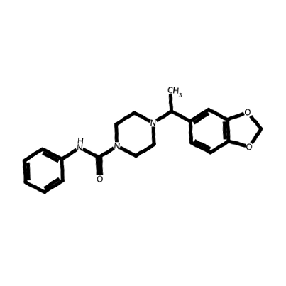 CC(c1ccc2c(c1)OCO2)N1CCN(C(=O)Nc2ccccc2)CC1